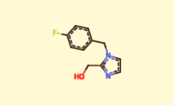 OCc1nccn1Cc1ccc(F)cc1